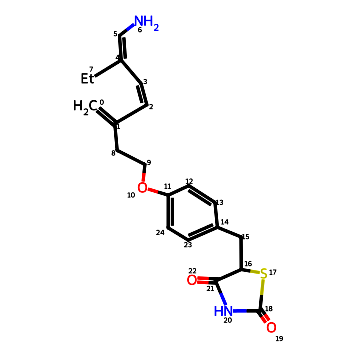 C=C(/C=C\C(=C/N)CC)CCOc1ccc(CC2SC(=O)NC2=O)cc1